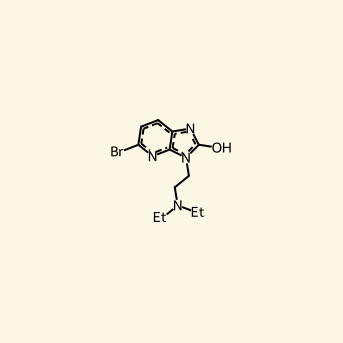 CCN(CC)CCn1c(O)nc2ccc(Br)nc21